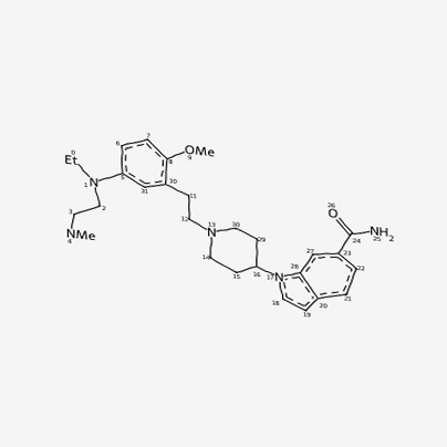 CCN(CCNC)c1ccc(OC)c(CCN2CCC(n3ccc4ccc(C(N)=O)cc43)CC2)c1